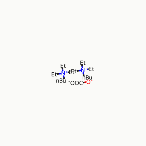 CCCC[N+](CC)(CC)CC.CCCC[N+](CC)(CC)CC.O=C([O-])[O-]